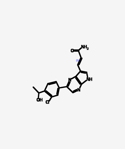 CC(O)c1ccc(-c2cnc3[nH]cc(/C=C/C(N)=O)c3n2)cc1Cl